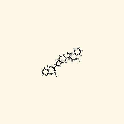 Nc1ccccc1NC(=O)c1nc2c(s1)CN(C(=C[N+](=O)[O-])Nc1ccccc1)CC2